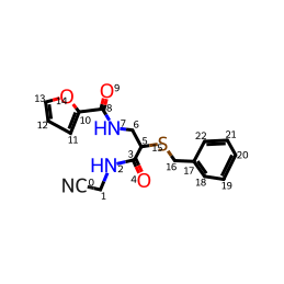 N#CCNC(=O)C(CNC(=O)c1ccco1)SCc1ccccc1